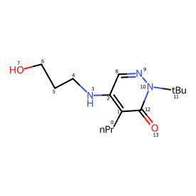 CCCc1c(NCCCO)cnn(C(C)(C)C)c1=O